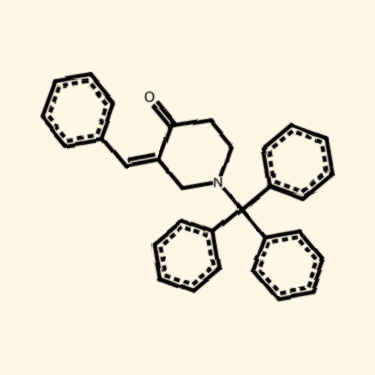 O=C1CCN(C(c2ccccc2)(c2ccccc2)c2ccccc2)C/C1=C/c1ccccc1